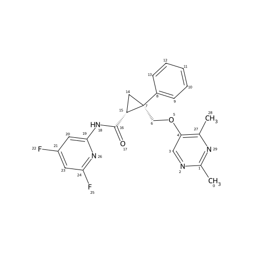 Cc1ncc(OC[C@@]2(c3ccccc3)C[C@H]2C(=O)Nc2cc(F)cc(F)n2)c(C)n1